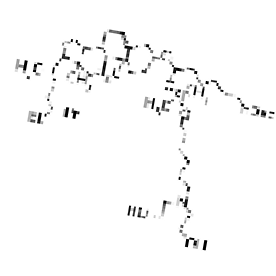 CCCCCCCCCCCCCCCC(OC1CCC2(C)C(=CCC3C2CCC2(C)C(C(C)CCC(CC)C(C)C)CCC32)C1)O[Si](C)(C)OCCCCCCN(CCO)CCO